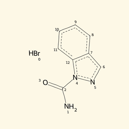 Br.NC(=O)n1ncc2cc[c]cc21